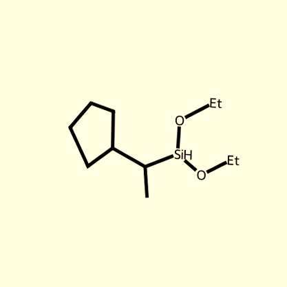 CCO[SiH](OCC)C(C)C1CCCC1